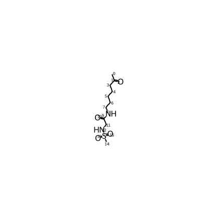 CC(=O)CCCCCNC(=O)CNS(C)(=O)=O